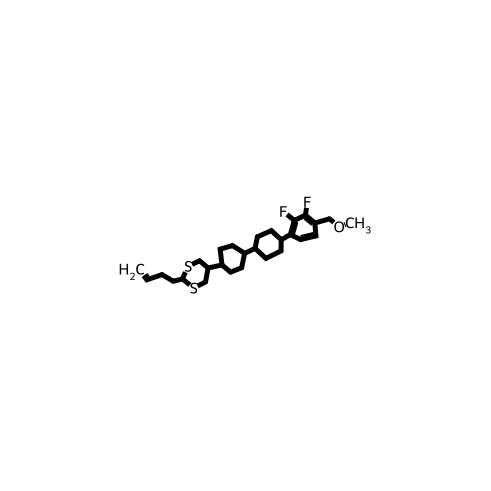 C=CCCC1SCC(C2CCC(C3CCC(c4ccc(COC)c(F)c4F)CC3)CC2)CS1